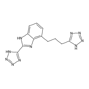 c1cc(CCCc2nnn[nH]2)c2nc(-c3nnn[nH]3)[nH]c2c1